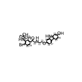 CS(=O)(=O)Nc1cc([C@@H](O)CNCCOc2ccc3c(c2)[nH]c2cc(O)ccc23)ccc1Br